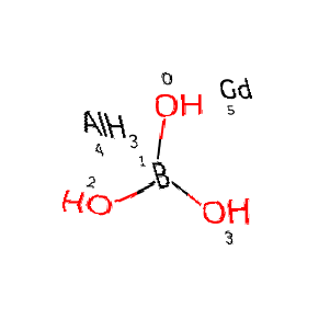 OB(O)O.[AlH3].[Gd]